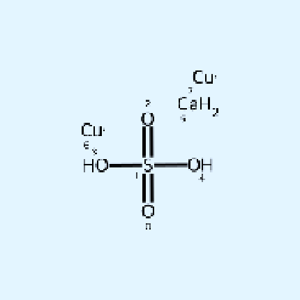 O=S(=O)(O)O.[CaH2].[Cu].[Cu]